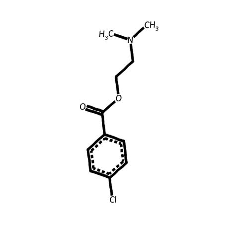 CN(C)CCOC(=O)c1ccc(Cl)cc1